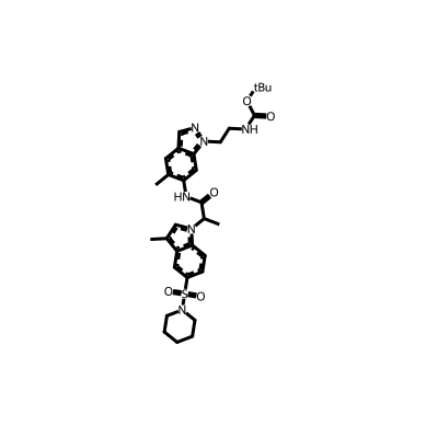 Cc1cc2cnn(CCNC(=O)OC(C)(C)C)c2cc1NC(=O)C(C)n1cc(C)c2cc(S(=O)(=O)N3CCCCC3)ccc21